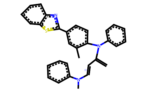 C=C(/C=C/N(C)c1ccccc1)N(c1ccccc1)c1ccc(-c2nc3ccccc3s2)cc1C